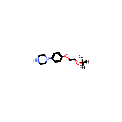 [2H]C([2H])([2H])OCCOc1ccc(N2CCNCC2)cc1